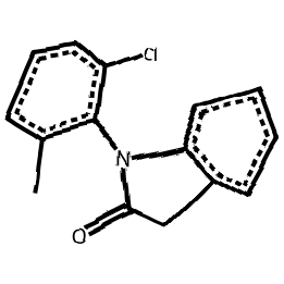 Cc1cccc(Cl)c1N1C(=O)Cc2ccccc21